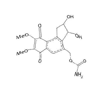 COC1=C(OC)C(=O)c2c(cc(COC(N)=O)c3c2CC(O)C3O)C1=O